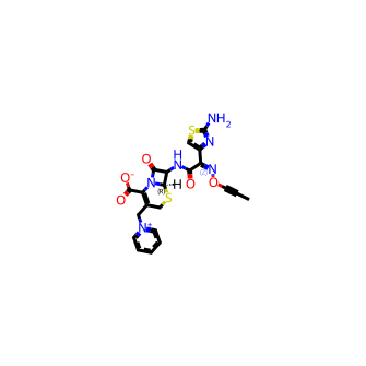 CC#CO/N=C(\C(=O)NC1C(=O)N2C(C(=O)[O-])=C(C[n+]3ccccc3)CS[C@H]12)c1csc(N)n1